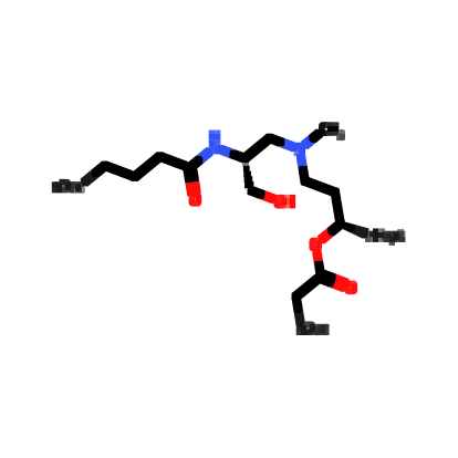 CCCCCCCCCCCCCC(=O)N[C@@H](CO)CN(C)CC[C@@H](CCCCCCC)OC(=O)CCCCCCCCCCC